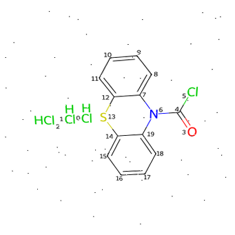 Cl.Cl.Cl.O=C(Cl)N1c2ccccc2Sc2ccccc21